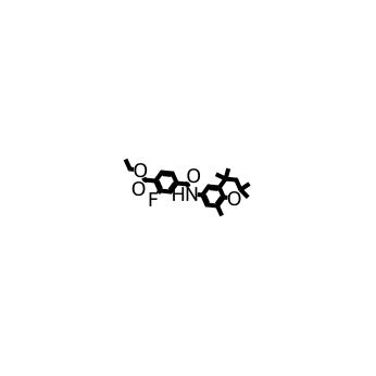 CCOC(=O)c1ccc(C(=O)Nc2cc(C)c3c(c2)C(C)(C)CC(C)(C)O3)cc1F